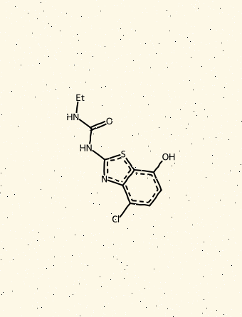 CCNC(=O)Nc1nc2c(Cl)ccc(O)c2s1